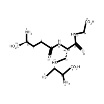 NC(CS)C(=O)O.N[C@@H](CCC(=O)N[C@@H](CS)C(=O)NCC(=O)O)C(=O)O